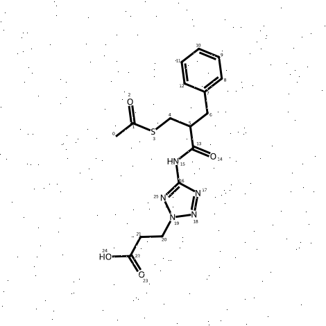 CC(=O)SCC(Cc1ccccc1)C(=O)Nc1nnn(CCC(=O)O)n1